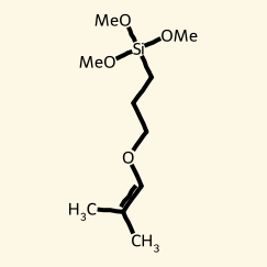 CO[Si](CCCOC=C(C)C)(OC)OC